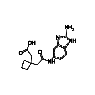 Nc1nc2cc(NC(=O)CC3(CC(=O)O)CCC3)ccc2[nH]1